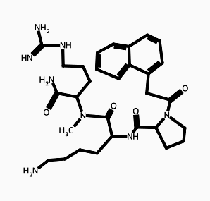 CN(C(=O)C(CCCCN)NC(=O)C1CCCN1C(=O)Cc1cccc2ccccc12)C(CCCNC(=N)N)C(N)=O